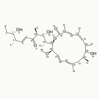 CC[C@H](O)[C@@H](C)/C=C/C(=O)[C@@H](C)[C@H](O)[C@@H](C)[C@H]1OC(=O)/C(C)=C/C(C)=C\C(C)C(O)[C@@H](C)C/C(C)=C/C=C/[C@H]1OC